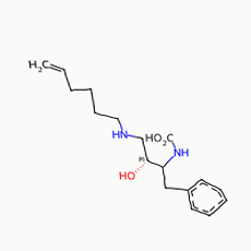 C=CCCCCNC[C@@H](O)C(Cc1ccccc1)NC(=O)O